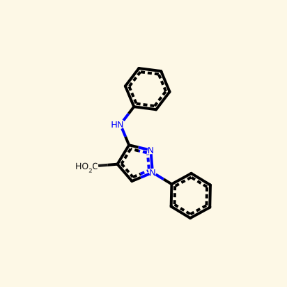 O=C(O)c1cn(-c2ccccc2)nc1Nc1ccccc1